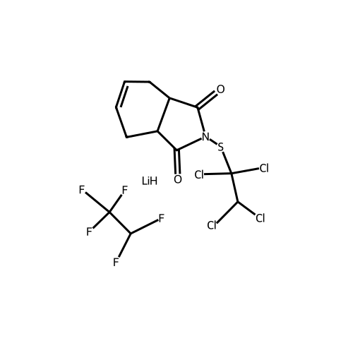 FC(F)C(F)(F)F.O=C1C2CC=CCC2C(=O)N1SC(Cl)(Cl)C(Cl)Cl.[LiH]